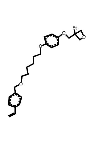 C=Cc1ccc(COCCCCCCOc2ccc(OCC3(CC)COC3)cc2)cc1